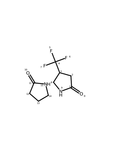 O=C1CC(C(F)(F)F)CN1.O=C1CCCN1